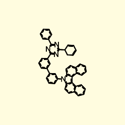 C1=CCC(c2nc(-c3ccccc3)nc(-c3cccc(-c4cccc(-n5c6ccc7ccccc7c6c6c7ccccc7ccc65)c4)c3)n2)C=C1